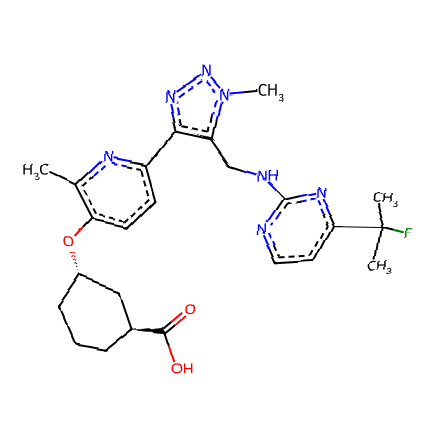 Cc1nc(-c2nnn(C)c2CNc2nccc(C(C)(C)F)n2)ccc1O[C@H]1CCC[C@H](C(=O)O)C1